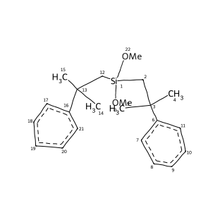 CO[Si](CC(C)(C)c1ccccc1)(CC(C)(C)c1ccccc1)OC